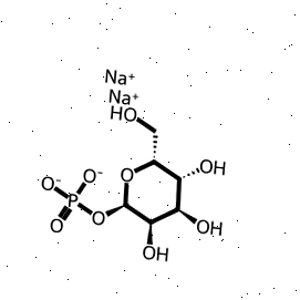 O=P([O-])([O-])O[C@H]1O[C@H](CO)[C@H](O)[C@@H](O)[C@H]1O.[Na+].[Na+]